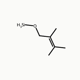 CC(C)=C(C)CO[SiH3]